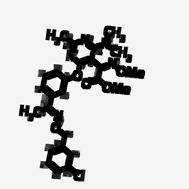 CON=C(C(=O)OC)c1c(Oc2cccc(C(C)=NOCc3cccc(Cl)c3)c2)nc(C)nc1N(C)C